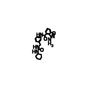 Nc1noc2cccc(C(=O)Nc3cccc(CNC(=O)NC4CCCCC4)c3)c12